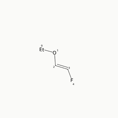 CCOC=CF